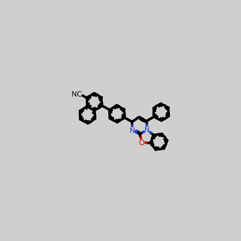 N#Cc1ccc(-c2ccc(C3C=C(c4ccccc4)N4C(=N3)Oc3ccccc34)cc2)c2ccccc12